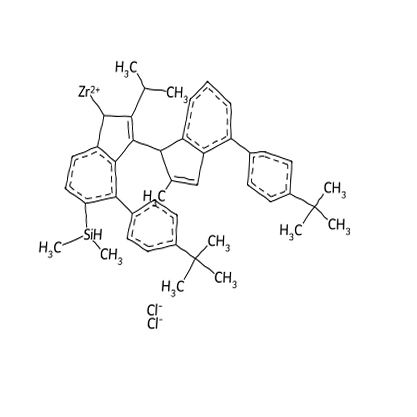 CC1=Cc2c(-c3ccc(C(C)(C)C)cc3)cccc2C1C1=C(C(C)C)[CH]([Zr+2])c2ccc([SiH](C)C)c(-c3ccc(C(C)(C)C)cc3)c21.[Cl-].[Cl-]